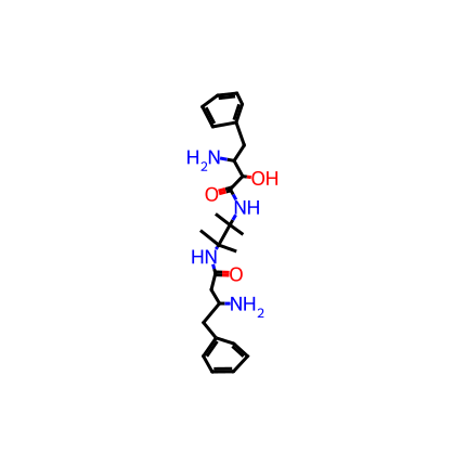 CC(C)(NC(=O)CC(N)Cc1ccccc1)C(C)(C)NC(=O)C(O)C(N)Cc1ccccc1